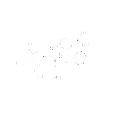 COc1cc(C(Nc2ccc(C(=N)N)cc2)C(=O)NCc2ccccc2)cc(OC)c1C.Cl